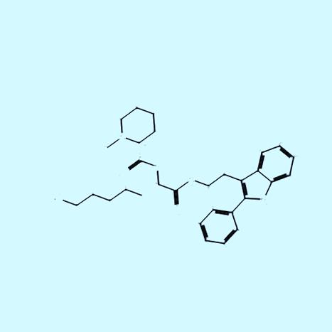 CC(=O)CCCCC[C@H](NC(=O)[C@H]1CCCCN1C)C(=O)NCCc1c(-c2ccccc2)[nH]c2ccccc12